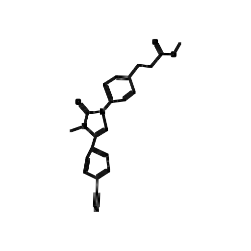 COC(=O)CCc1ccc(-n2cc(-c3ccc(C#N)cc3)n(C)c2=O)cc1